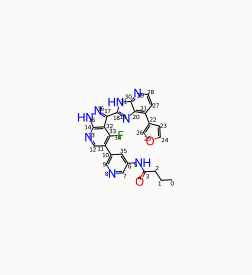 CCCC(=O)Nc1cncc(-c2cnc3[nH]nc(-c4nc5c(-c6ccoc6)ccnc5[nH]4)c3c2F)c1